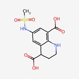 CS(=O)(=O)Nc1cc(C(=O)O)c2c(c1)C(C(=O)O)CCN2